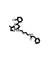 Cc1cnn2c(NCCCCNC(=O)Cc3ccccc3)cc(-c3ccccc3Cl)nc12